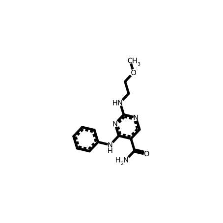 COCCNc1ncc(C(N)=O)c(Nc2ccccc2)n1